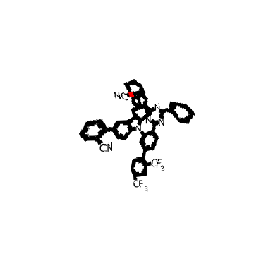 N#Cc1ccccc1-c1ccc2c(c1)c1cc(-c3ccccc3C#N)ccc1n2-c1cc(-c2ccc(C(F)(F)F)cc2C(F)(F)F)ccc1-c1nc(-c2ccccc2)nc(-c2ccccc2)n1